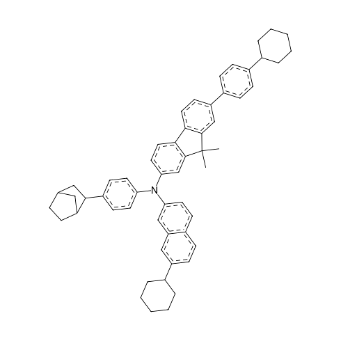 CC1(C)c2cc(-c3ccc(C4CCCCC4)cc3)ccc2-c2ccc(N(c3ccc(C4CC5CCC4C5)cc3)c3ccc4ccc(C5CCCCC5)cc4c3)cc21